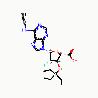 B=BNc1ncnc2c1ncn2[C@@H]1O[C@H](C(=O)O)[C@@H](O[Si](CC)(CC)CC)[C@@H]1F